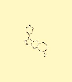 O=C1CCCc2cc3c(cnn3-c3ccncc3)cc2C1